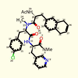 CNC(=O)[C@@H](Cc1cccnc1)NC(=O)[C@@H](Cc1ccc(Cl)cc1)N(C)C(=O)[C@@H](Cc1ccc2c(c1)CC=CC2)NC(C)=O